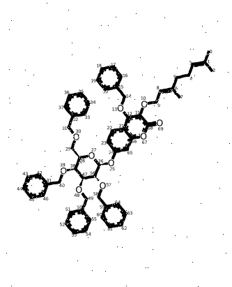 CC(C)=CCC/C(C)=C/COc1c(OCc2ccccc2)c2ccc(O[C@@H]3O[C@H](COCc4ccccc4)[C@H](OCc4ccccc4)[C@H](OCc4ccccc4)[C@H]3OCc3ccccc3)cc2oc1=O